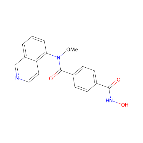 CON(C(=O)c1ccc(C(=O)NO)cc1)c1cccc2cnccc12